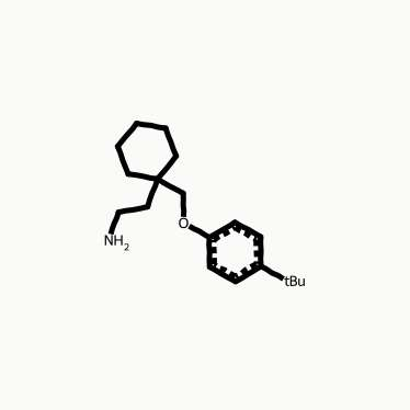 CC(C)(C)c1ccc(OCC2(CCN)CCCCC2)cc1